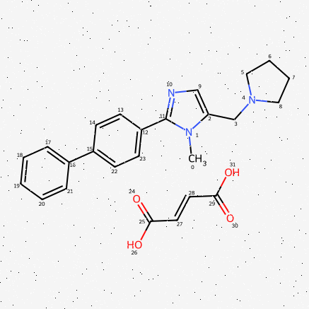 Cn1c(CN2CCCC2)cnc1-c1ccc(-c2ccccc2)cc1.O=C(O)C=CC(=O)O